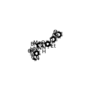 CCc1cc(Nc2ncc(Br)c(Nc3ccc4nccnc4c3P(C)(C)=O)n2)c(OC)cc1N1CCC(N2CCCCS2(=O)=O)CC1